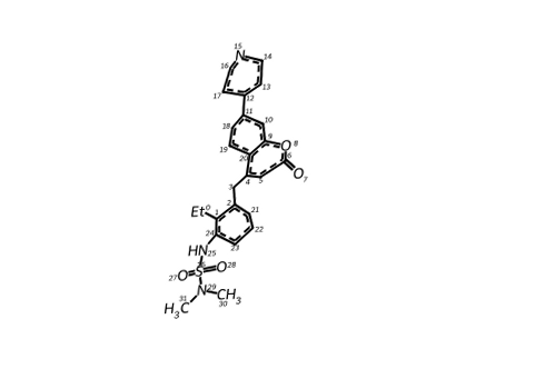 CCc1c(Cc2cc(=O)oc3cc(-c4ccncc4)ccc23)cccc1NS(=O)(=O)N(C)C